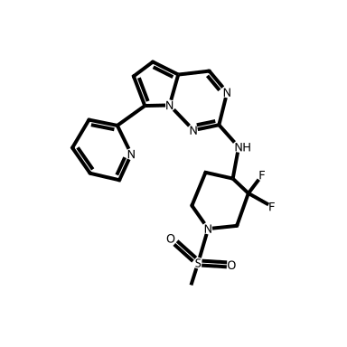 CS(=O)(=O)N1CCC(Nc2ncc3ccc(-c4ccccn4)n3n2)C(F)(F)C1